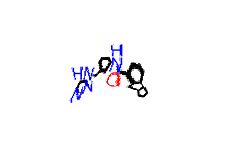 O=C(Nc1cccc(CNc2ccncn2)c1)c1cccc2c1Cc1ccccc1-2